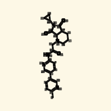 Cc1ccc(-c2ccc(NC(=O)CN3CCCC4C(=O)N(C5CC5)C(=O)C43)nc2)cn1